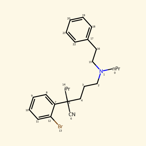 CCCN(CCCC(C#N)(c1ccccc1Br)C(C)C)CCc1ccccc1